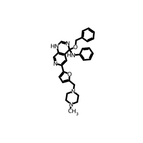 CN1CCN(Cc2ccc(-c3cc4c(cn3)NC=NC4(Nc3ccccc3)OCc3ccccc3)o2)CC1